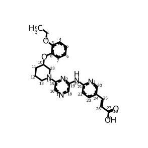 CCOc1ccccc1OC1CCCN(c2cncc(Nc3ccc(C=CC(=O)O)cn3)n2)C1